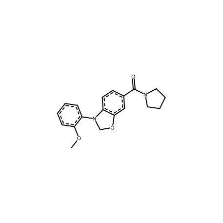 COc1ccccc1N1COc2cc(C(=O)N3CCCC3)ccc21